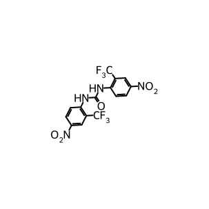 O=C(Nc1ccc([N+](=O)[O-])cc1C(F)(F)F)Nc1ccc([N+](=O)[O-])cc1C(F)(F)F